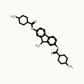 CC1CCC(C(=O)Oc2ccc3c(c2)C(C)c2cc(OC(=O)C4CCC(C)CC4)ccc2-3)CC1